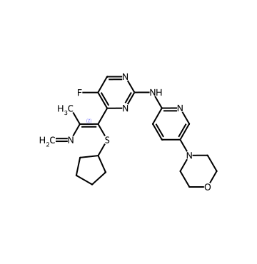 C=N/C(C)=C(\SC1CCCC1)c1nc(Nc2ccc(N3CCOCC3)cn2)ncc1F